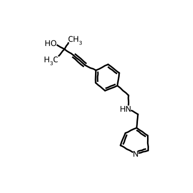 CC(C)(O)C#Cc1ccc(CNCc2ccncc2)cc1